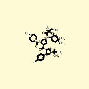 CN1CCN(C(=O)[C@@H]2C[C@H](N(C(=O)C(C)(C)CO)C3CCC(C)(C)CC3)CN2C(=O)[C@@H]2CN(C(C)(C)C)C[C@H]2c2ccc(Cl)cc2)CC1